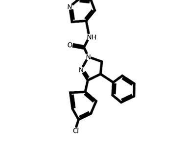 O=C(Nc1cccnc1)N1CC(c2ccccc2)C(c2ccc(Cl)cc2)=N1